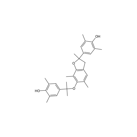 Cc1cc(C(C)(C)Oc2c(C)cc3c(c2C)OC(C)(c2cc(C)c(O)c(C)c2)C3)cc(C)c1O